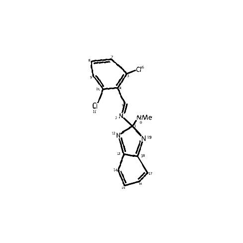 CNC1(N=Cc2c(Cl)cccc2Cl)N=c2ccccc2=N1